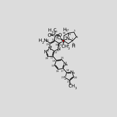 CC(=O)N1[C@@H]2CC[C@H]1C[C@@H](c1nc3c(-c4ccc(-c5ncc(C)s5)nc4)cnn3c(N)c1S(C)(=O)=O)C2